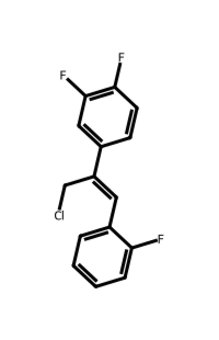 Fc1ccc(/C(=C/c2ccccc2F)CCl)cc1F